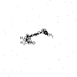 Cc1ccc(S(=O)(=O)OCCOCCOCCOCCOC(=O)C(C)NC(=O)C(C)NC=O)cc1